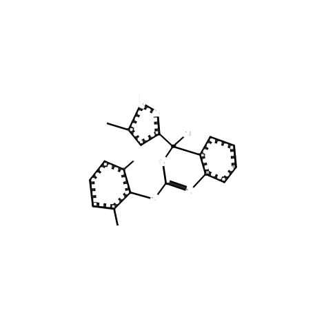 Cc1cc(C2(N)NC(Nc3c(F)cccc3F)=Nc3ccccc32)n[nH]1